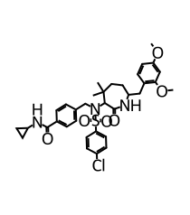 COc1ccc(CC2CCC(C)(C)C(N(Cc3ccc(C(=O)NC4CC4)cc3)S(=O)(=O)c3ccc(Cl)cc3)C(=O)N2)c(OC)c1